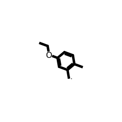 [CH2]c1cc(OCC)ccc1C